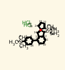 C[Si](C)(C)c1ccc(-c2cccc3c2C=C[CH]3[Zr]([CH3])([CH3])(=[SiH2])[C]2=CC=CC2)cc1.Cl.Cl